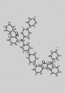 c1ccc(-c2ccc(N(c3ccc(-c4ccc(-c5cccc6c5oc5c6c6ccccc6n5-c5ccccc5)cc4)cc3)c3cccc4c3oc3ccccc34)cc2)cc1